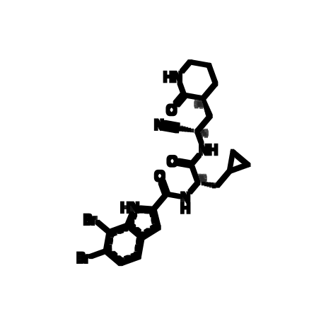 N#C[C@H](C[C@@H]1CCCNC1=O)NC(=O)[C@H](CC1CC1)NC(=O)c1cc2ccc(Br)c(Br)c2[nH]1